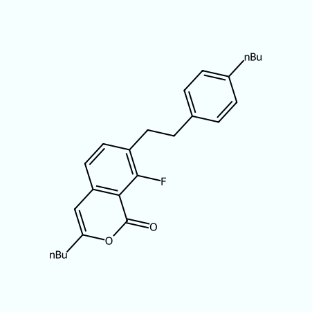 CCCCc1ccc(CCc2ccc3cc(CCCC)oc(=O)c3c2F)cc1